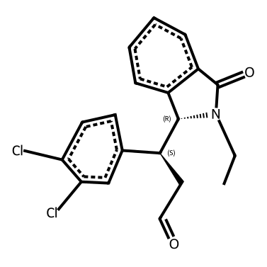 CCN1C(=O)c2ccccc2[C@H]1[C@@H](CC=O)c1ccc(Cl)c(Cl)c1